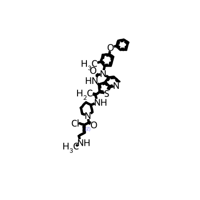 C=C(NC1CCCN(C(=O)/C(Cl)=C/CNC)C1)c1sc2nccc3c2c1NC(=O)N3c1ccc(Oc2ccccc2)cc1C